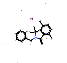 C=C1c2c(C)ccc(C)c2C(C)(C)N1Cc1ccccc1.I